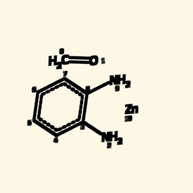 C=O.Nc1ccccc1N.[Zn]